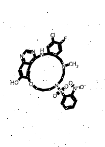 CN1CCN(S(=O)(=O)c2ccccc2[N+](=O)[O-])CCCOc2cc3c(ncnc3cc2O)Nc2cc(Cl)c(F)cc2C1